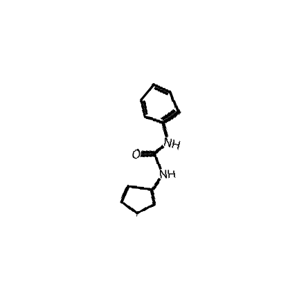 O=C(Nc1ccccc1)NC1C[CH]CC1